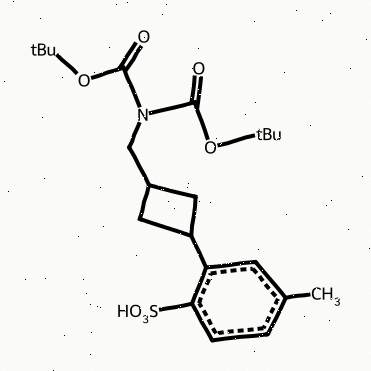 Cc1ccc(S(=O)(=O)O)c(C2CC(CN(C(=O)OC(C)(C)C)C(=O)OC(C)(C)C)C2)c1